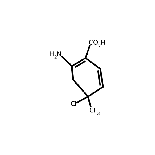 NC1=C(C(=O)O)C=CC(Cl)(C(F)(F)F)C1